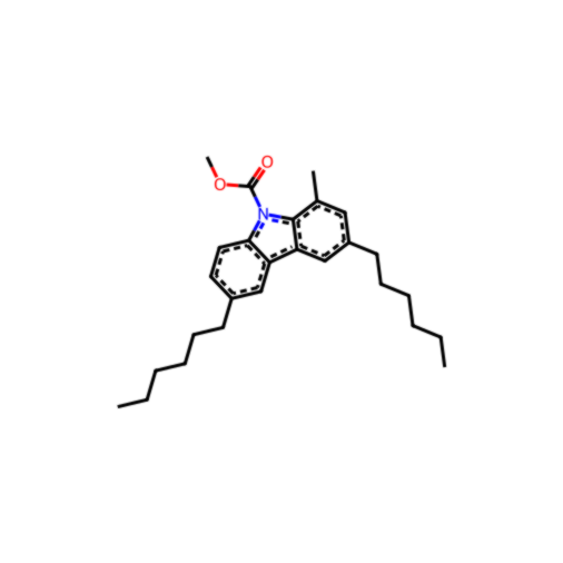 CCCCCCc1ccc2c(c1)c1cc(CCCCCC)cc(C)c1n2C(=O)OC